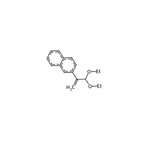 C=C(c1ccc2ccccc2c1)C(OCC)OCC